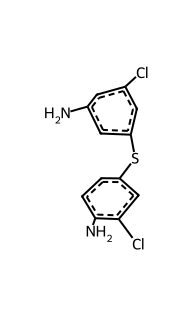 Nc1cc(Cl)cc(Sc2ccc(N)c(Cl)c2)c1